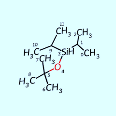 CC(C)[SiH](OC(C)(C)C)C(C)C